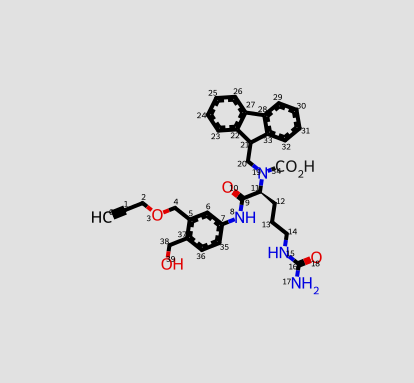 C#CCOCc1cc(NC(=O)[C@H](CCCNC(N)=O)N(CC2c3ccccc3-c3ccccc32)C(=O)O)ccc1CO